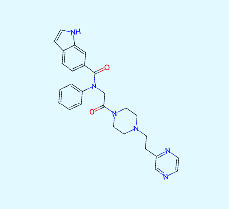 O=C(CN(C(=O)c1ccc2cc[nH]c2c1)c1ccccc1)N1CCN(CCc2cnccn2)CC1